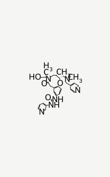 C[C@@H]1CN([C@@H](C)CO)C(=O)Cc2cc(NC(=O)Nc3cccnc3)ccc2O[C@H]1CN(C)Cc1ccncc1